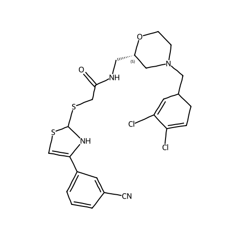 N#Cc1cccc(C2=CSC(SCC(=O)NC[C@H]3CN(CC4C=C(Cl)C(Cl)=CC4)CCO3)N2)c1